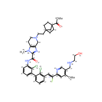 COC(=O)C12CCC(CCN3CCc4c(nc(C(=O)Nc5cccc(-c6cccc(/C=C(\F)c7cc(OC)c(CNCCO)cn7)c6Cl)c5Cl)n4C)C3)(CC1)C2